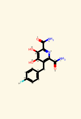 NC(=O)c1nc(C(N)=O)c(Cc2ccc(F)cc2)c(O)c1O